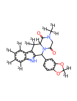 [2H]c1c([2H])c([2H])c2c3c([nH]c2c1[2H])C(c1ccc2c(c1)OC([2H])([2H])O2)N1C(=O)CN(C([2H])([2H])[2H])C(=O)[C@H]1C3([2H])[2H]